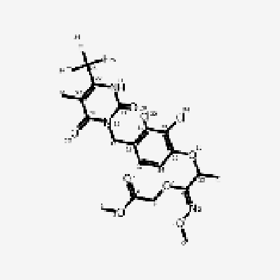 CON=C(OCC(=O)OC)C(C)Oc1ccc(Cn2c(=O)[nH]c(C(F)(F)F)c(C)c2=O)c(Cl)c1Cl